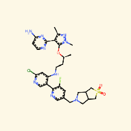 Cc1nn(C)c(O[C@@H](C)CCNc2cc(Cl)ncc2-c2ncc(CN3CC4CS(=O)(=O)CC4C3)cc2F)c1-c1nccc(N)n1